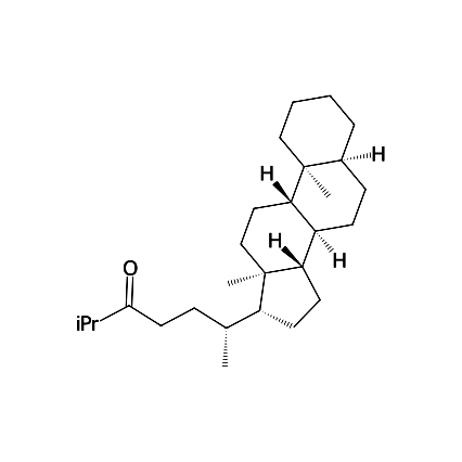 CC(C)C(=O)CC[C@@H](C)[C@H]1CC[C@H]2[C@@H]3CC[C@@H]4CCCC[C@]4(C)[C@H]3CC[C@]12C